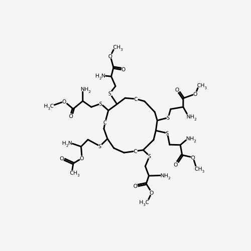 COC(=O)C(N)CSC1CCCC(SCC(N)OC(C)=O)CCC(SCC(N)C(=O)OC)C(SCC(N)C(=O)OC)CCCCC(SCC(N)C(=O)OC)C(SCC(N)C(=O)OC)C1